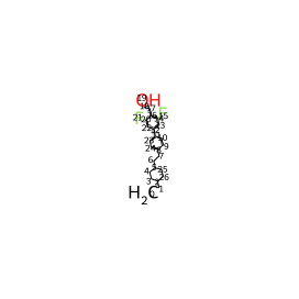 C=CC1CCC(CCc2ccc(-c3cc(F)c(CCO)c(F)c3)cc2)CC1